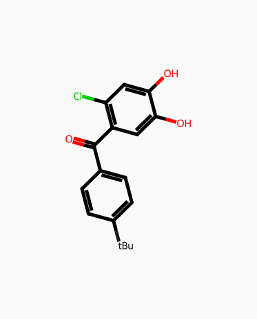 CC(C)(C)c1ccc(C(=O)c2cc(O)c(O)cc2Cl)cc1